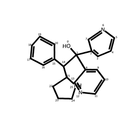 OC(c1cccnc1)(c1cccnc1)C(c1ccccc1)C1CCCN1